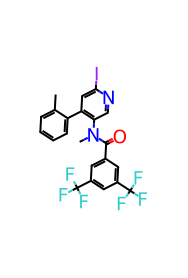 Cc1ccccc1-c1cc(I)ncc1N(C)C(=O)c1cc(C(F)(F)F)cc(C(F)(F)F)c1